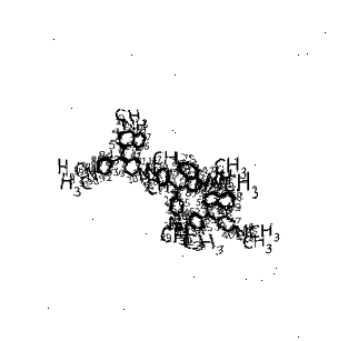 CCNc1ccc(C(=C2C=CC(=[N+](CC)N(CC)c3ccc(C(=C4C=CC(=[N+](CC)N(CC)c5ccc(C(=C6C=CC(=[N+](CC)CC)C=C6)c6ccc(NCC)c7ccccc67)cc5)C=C4)c4ccc(NCC)c5ccccc45)cc3)C=C2)c2ccc(N(CC)CC)cc2)c2ccccc12